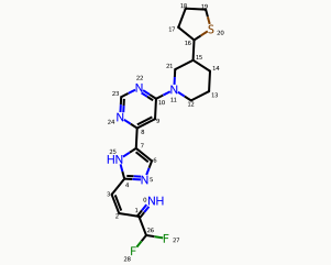 N=C(/C=C\c1ncc(-c2cc(N3CCCC(C4CCCS4)C3)ncn2)[nH]1)C(F)F